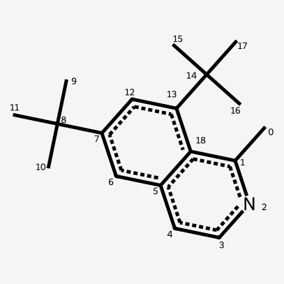 Cc1nccc2cc(C(C)(C)C)cc(C(C)(C)C)c12